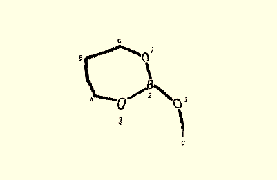 IOB1OCCCO1